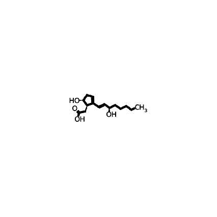 CCCCC[C@@H](O)C=CC1=CC[C@@H](O)[C@@H]1CC(=O)O